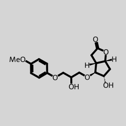 COc1ccc(OCC(O)CO[C@H]2[C@@H]3CC(=O)O[C@@H]3C[C@@H]2O)cc1